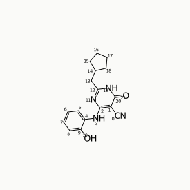 N#Cc1c(Nc2ccccc2O)nc(CC2CCCC2)[nH]c1=O